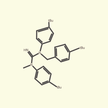 CCC(C)c1ccc(N(C)C(=N)N(Cc2ccc(C(C)(C)C)cc2)c2ccc(C(C)(C)C)cc2)cc1